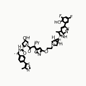 Cc1ncsc1-c1ccc([C@H](C)NC(=O)[C@@H]2C[C@@H](O)CN2C(=O)[C@@H](c2cc(OCCN3C[C@@H]4[C@H](C3)[C@H]4c3[nH]c4nnc(-c5cc(F)cc(F)c5O)cc4c3C)no2)C(C)C)cc1